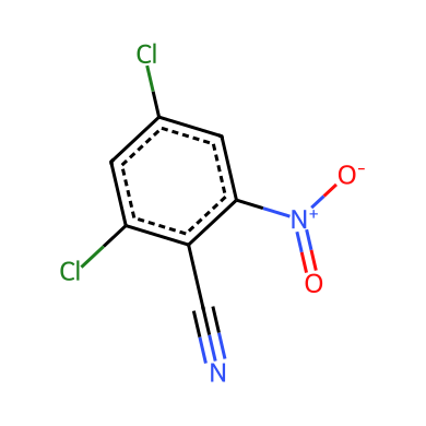 N#Cc1c(Cl)cc(Cl)cc1[N+](=O)[O-]